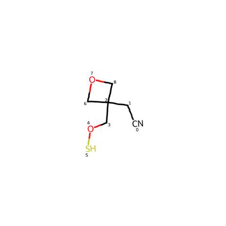 N#CCC1(COS)COC1